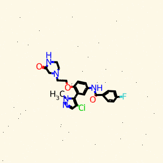 Cn1ncc(Cl)c1-c1cc(NC(=O)c2ccc(F)cc2)ccc1OCCN1CCNC(=O)C1